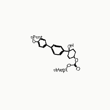 CCCCCCCOC(=O)OC1CCC(O)(c2ccc(-c3ccc(OCCCCC)cc3)cc2)CC1